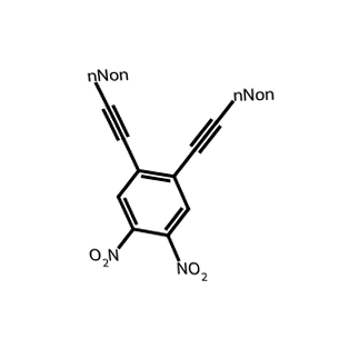 CCCCCCCCCC#Cc1cc([N+](=O)[O-])c([N+](=O)[O-])cc1C#CCCCCCCCCC